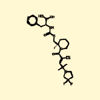 CC(C)(/C=C(\C#N)C(=O)N1CCCC[C@]1(C)COC(=O)N[C@@H](Cc1ccccc1)B(O)O)N1CCC(F)(F)C1